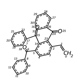 C=Cc1ccc(C(=O)c2ccccc2)c(C(=O)c2ccccc2)c1C(=O)c1ccccc1